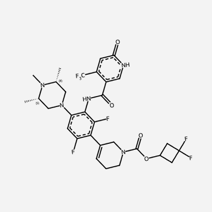 C[C@@H]1CN(c2cc(F)c(C3=CCCN(C(=O)OC4CC(F)(F)C4)C3)c(F)c2NC(=O)c2c[nH]c(=O)cc2C(F)(F)F)C[C@H](C)N1C